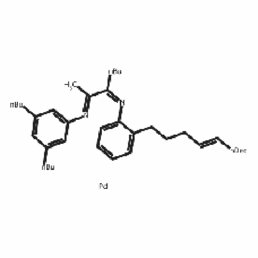 CCCCCCCCCCC=CCCCc1ccccc1N=C(CCCC)C(C)=Nc1cc(CCCC)cc(CCCC)c1.[Pd]